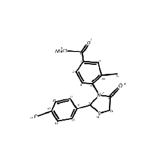 COC(=O)c1ccc(N2C(=O)[CH]SC2c2ccc(F)cc2)c(C)c1